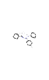 Cc1ccc(C(/C=C(\O)c2ccccc2)=N\c2ccccc2)cc1